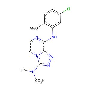 COc1ccc(Cl)cc1Nc1nccn2c(N(C(=O)O)C(C)C)nnc12